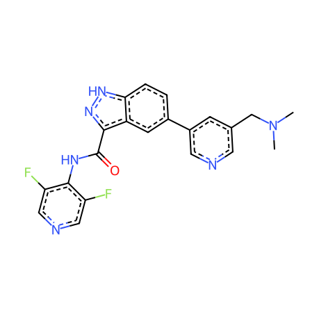 CN(C)Cc1cncc(-c2ccc3[nH]nc(C(=O)Nc4c(F)cncc4F)c3c2)c1